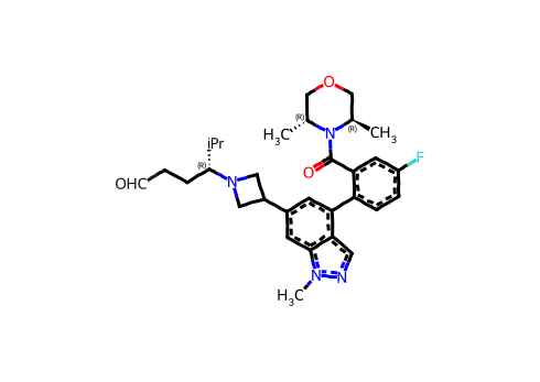 CC(C)[C@@H](CCC=O)N1CC(c2cc(-c3ccc(F)cc3C(=O)N3[C@H](C)COC[C@H]3C)c3cnn(C)c3c2)C1